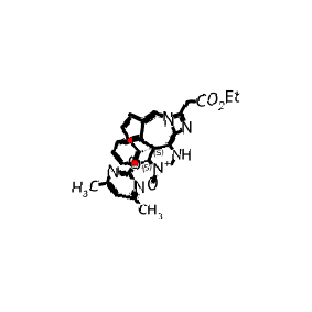 CCOC(=O)CC1=NC2=C3NC[N+](=O)[C@@H](Oc4nc(C)cc(C)n4)[C@@]3(c3ccccc3)C3=CC=CC3=CN12